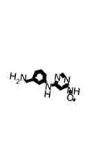 CONc1cc(Nc2cccc(CN)c2)ncn1